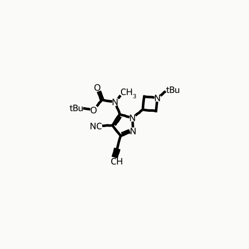 C#Cc1nn(C2CN(C(C)(C)C)C2)c(N(C)C(=O)OC(C)(C)C)c1C#N